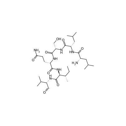 CC[C@H](C)[C@H](NC(=O)[C@H](CCC(N)=O)NC(=O)[C@H](CO)NC(=O)[C@H](CC(C)C)NC(=O)[C@@H](N)CC(C)C)C(=O)N[C@H]([C]=O)C(C)C